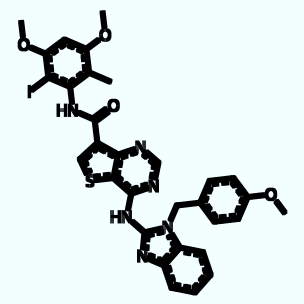 COc1ccc(Cn2c(Nc3ncnc4c(C(=O)Nc5c(C)c(OC)cc(OC)c5I)csc34)nc3ccccc32)cc1